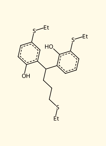 CCSCCCC(c1cc(SCC)ccc1O)c1cccc(SCC)c1O